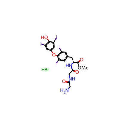 Br.COC(=O)[C@H](Cc1cc(I)c(Oc2cc(I)c(O)c(I)c2)c(I)c1)NC(=O)CNC(=O)CN